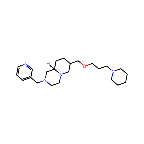 c1cncc(CN2CCN3CC(COCCCN4CCCCC4)CC[C@H]3C2)c1